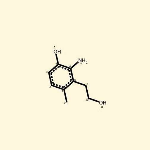 Cc1ccc(O)c(N)c1CCO